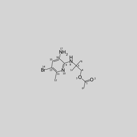 CC(=O)OCC(C)(C)Nc1nc(C)c(Br)cc1N